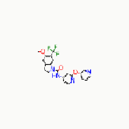 COc1cc2c(cc1C(F)(F)F)N(C(=O)Nc1ccnc(Oc3cccnc3)c1)CC2